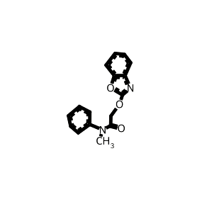 CN(C(=O)COc1nc2ccccc2o1)c1ccccc1